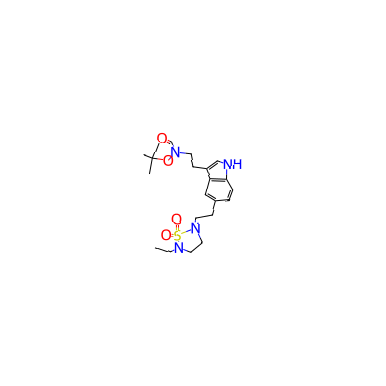 CCN1CCN(CCc2ccc3[nH]cc(CCN(C=O)OC(C)(C)C)c3c2)S1(=O)=O